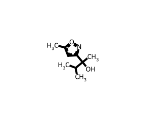 Cc1cc(C(C)(O)C(C)C)no1